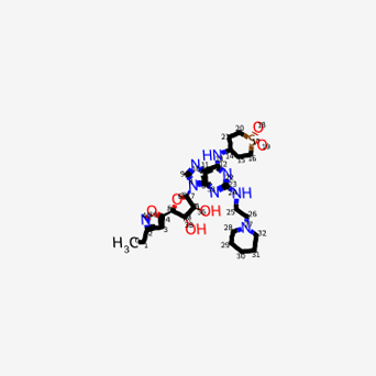 CCc1cc([C@H]2O[C@@H](n3cnc4c(NC5CCS(=O)(=O)CC5)nc(NCCN5CCCCC5)nc43)[C@H](O)[C@@H]2O)on1